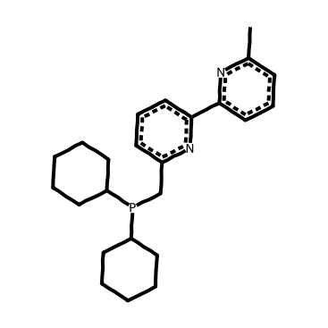 Cc1cccc(-c2cccc(CP(C3CCCCC3)C3CCCCC3)n2)n1